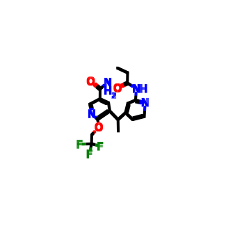 CCC(=O)Nc1cc(C(C)c2cc(C(N)=O)cnc2OCC(F)(F)F)ccn1